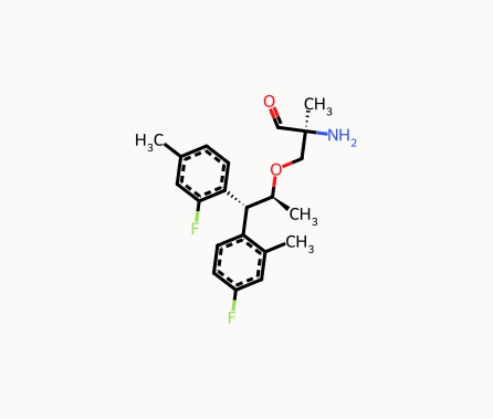 Cc1ccc([C@@H](c2ccc(F)cc2C)[C@H](C)OC[C@](C)(N)C=O)c(F)c1